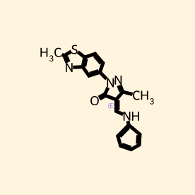 CC1=NN(c2ccc3sc(C)nc3c2)C(=O)/C1=C/Nc1ccccc1